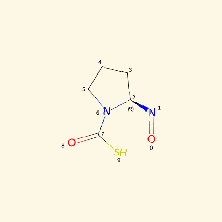 O=N[C@@H]1CCCN1C(=O)S